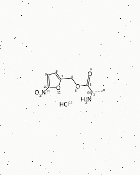 C[C@H](N)C(=O)OCc1ccc([N+](=O)[O-])o1.Cl